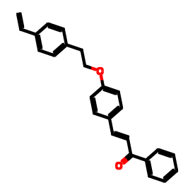 C=Cc1ccc(CCOc2ccc(/C=C/C(=O)c3ccccc3)cc2)cc1